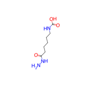 NNC(=O)CCCCCNC(=O)O